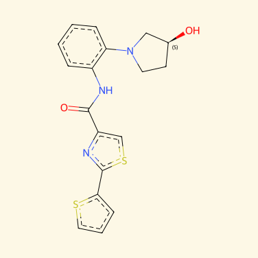 O=C(Nc1ccccc1N1CC[C@H](O)C1)c1csc(-c2cccs2)n1